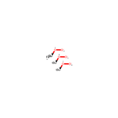 CC(C)(C)O[O-].CC(C)(C)O[O-].CC(C)(C)O[O-].[Fe+3]